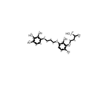 CCCc1c(SCCCOc2ccc(C(C)=O)c(OCCC(CC)C(=O)O)c2CCC)ccc(C(C)=O)c1O